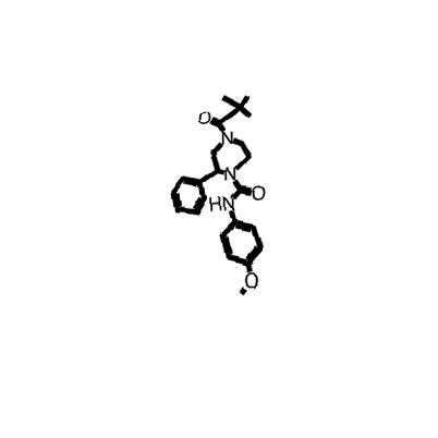 COc1ccc(NC(=O)N2CCN(C(=O)C(C)(C)C)CC2c2ccccc2)cc1